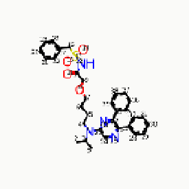 CC(C)N(CCCCOCC(=O)NS(=O)(=O)Cc1ccccc1)c1cnc(-c2ccccc2)c(-c2ccccc2)n1